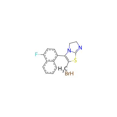 Br.CC1=C(c2ccc(F)c3ccccc23)N2CCN=C2S1